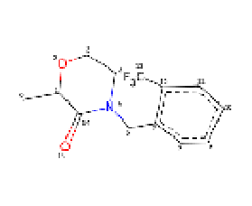 CC1OCCN(Cc2ccccc2C(F)(F)F)C1=O